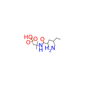 CCC(CN)CC(C)C(=O)NC(C)(C)CS(=O)(=O)O